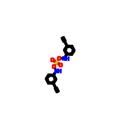 C#Cc1cccc(NOS(=O)(=O)ONc2cccc(C#C)c2)c1